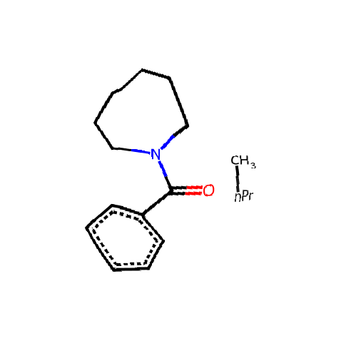 CCCC.O=C(c1ccccc1)N1CCCCCC1